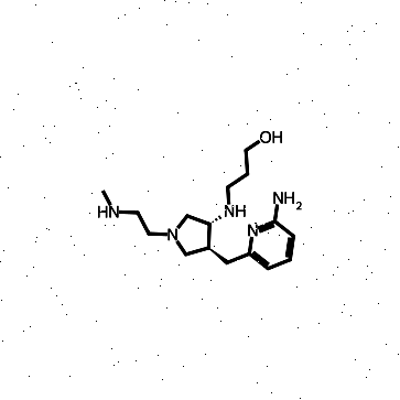 CNCCN1C[C@H](Cc2cccc(N)n2)[C@@H](NCCCO)C1